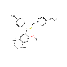 CCOc1cc2c(cc1C(SCc1ccc(C(=O)O)cc1)c1ccc(C(C)(C)C)cc1)C(C)(C)CCC2(C)C